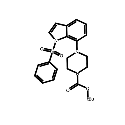 CC(C)(C)OC(=O)N1CCN(c2cccc3ccn(S(=O)(=O)c4ccccc4)c23)CC1